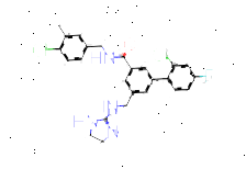 Cc1cc(CNC(=O)c2cc(CNC3=NCCN3)cc(-c3ccc(F)cc3Cl)c2)ccc1Cl